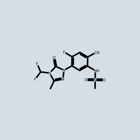 Cc1nn(-c2cc(NS(C)(=O)=O)c(C#N)cc2F)c(=O)n1C(F)F